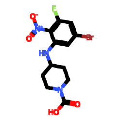 O=C(O)N1CCC(Nc2cc(Br)cc(F)c2[N+](=O)[O-])CC1